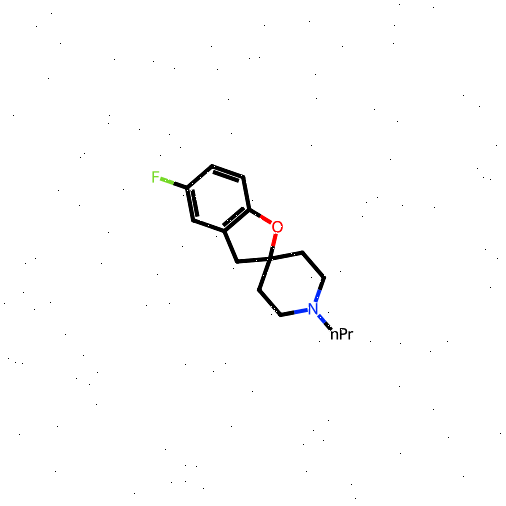 CCCN1CCC2(CC1)Cc1cc(F)ccc1O2